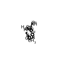 CC(C)NCCOc1ncc(-c2cc3c4c(cnc3cc2F)N(C)C(=O)C42CN(C3CC3)C2)cc1NS(C)(=O)=O